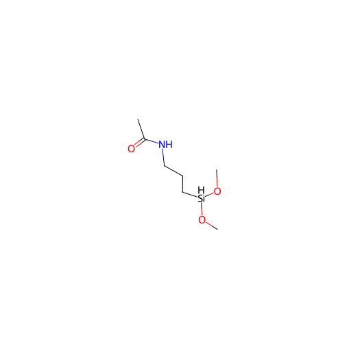 CO[SiH](CCCNC(C)=O)OC